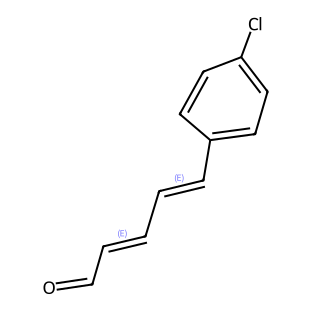 O=C/C=C/C=C/c1ccc(Cl)cc1